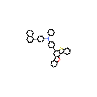 c1ccc(N(c2ccc(-c3cccc4ccccc34)cc2)c2ccc(-c3cc4c5ccccc5oc4c4c3sc3ccccc34)cc2)cc1